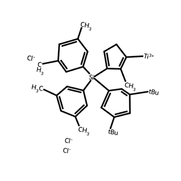 CC1=[C]([Ti+3])CC=C1[Si](c1cc(C)cc(C)c1)(c1cc(C)cc(C)c1)c1cc(C(C)(C)C)cc(C(C)(C)C)c1.[Cl-].[Cl-].[Cl-]